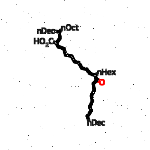 CCCCCCCCCCCCCCCCCC(=O)C(CCCCCC)CCCCCCCCCC(CC(CCCCCCCC)CCCCCCCCCC)C(=O)O